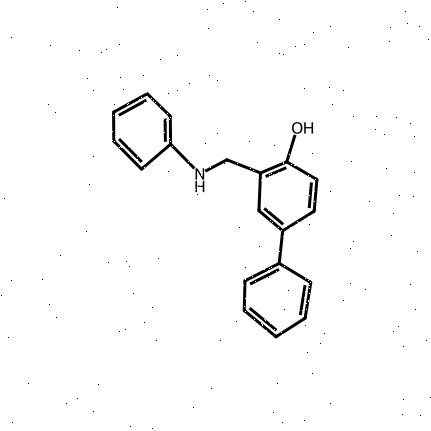 Oc1ccc(-c2ccccc2)cc1CNc1ccccc1